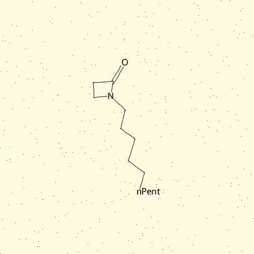 CCCCCCCCCCN1CCC1=O